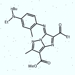 CCCCN(CC)c1ccc(/N=C2/C(C(=O)CC)=Nc3c(C(=O)OC)c(C)nn32)c(C)c1